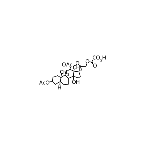 CC(=O)O[C@H]1CC[C@]2(C)C3C[C@@H](OC(C)=O)[C@]4(C)[C@@H](C(=O)COC(=O)C(=O)O)CC[C@]4(O)C3CC[C@@H]2C1